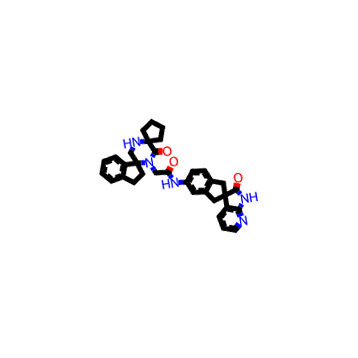 O=C(CN1C(=O)C2(CCCC2)NCC12CCc1ccccc12)Nc1ccc2c(c1)CC1(C2)C(=O)Nc2ncccc21